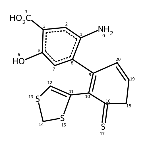 Nc1cc(C(=O)O)c(O)cc1C1=C(C2=CSCS2)C(=S)CC=C1